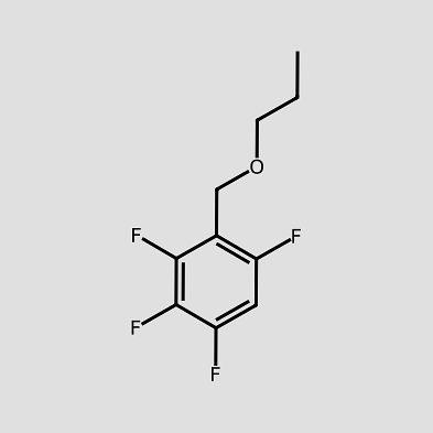 CCCOCc1c(F)cc(F)c(F)c1F